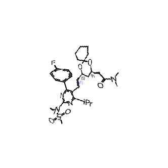 CC(C)c1nc(N(C)S(C)(=O)=O)nc(-c2ccc(F)cc2)c1/C=C/[C@@H]1C[C@H](CC(=O)N(C)C)OC2(CCCCC2)O1